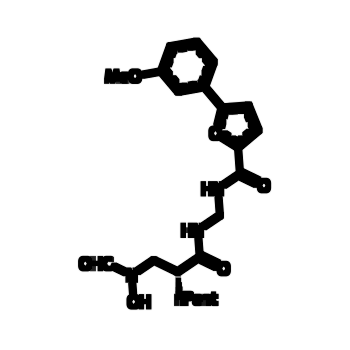 CCCCC[C@H](CN(O)C=O)C(=O)NCNC(=O)c1ccc(-c2cccc(OC)c2)o1